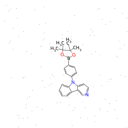 CC1(C)OB(c2ccc(-n3c4ccccc4c4cnccc43)cc2)OC1(C)C